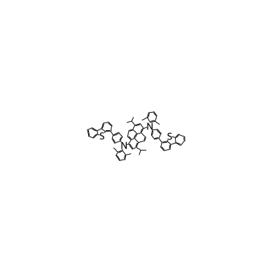 Cc1cccc(C)c1N(c1ccc(-c2cccc3c2sc2ccccc23)cc1)c1cc(C(C)C)c2ccc3c(N(c4ccc(-c5cccc6c5sc5ccccc56)cc4)c4c(C)cccc4C)cc(C(C)C)c4ccc1c2c43